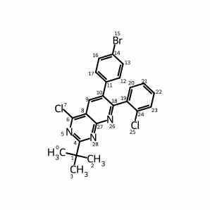 CC(C)(C)c1nc(Cl)c2cc(-c3ccc(Br)cc3)c(-c3ccccc3Cl)nc2n1